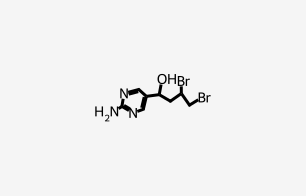 Nc1ncc(C(O)CC(Br)CBr)cn1